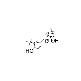 CC(C)(C)OP(=O)(O)OCc1ccc(O)c(C(C)(C)C)c1